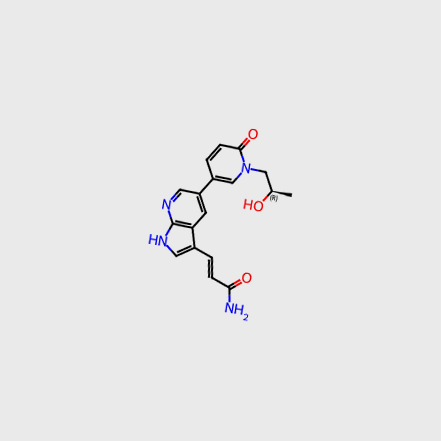 C[C@@H](O)Cn1cc(-c2cnc3[nH]cc(C=CC(N)=O)c3c2)ccc1=O